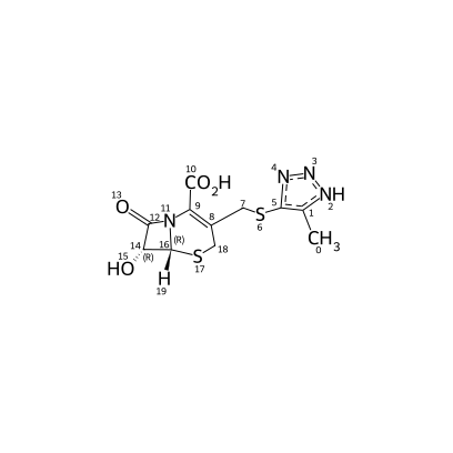 Cc1[nH]nnc1SCC1=C(C(=O)O)N2C(=O)[C@@H](O)[C@H]2SC1